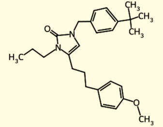 CCCn1c(CCCc2ccc(OC)cc2)cn(Cc2ccc(C(C)(C)C)cc2)c1=O